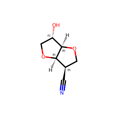 N#C[C@@H]1CO[C@H]2[C@@H]1OC[C@@H]2O